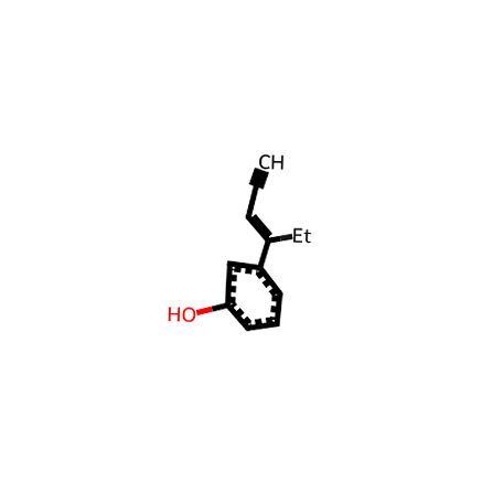 C#CC=C(CC)c1cccc(O)c1